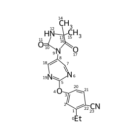 CCc1cc(Oc2ncc(N3C(=O)NC(C)(C)C3=O)cn2)ccc1C#N